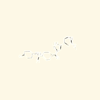 COc1cc(-c2cc(C(=O)N3CCC(C(=O)NC4CCC(=O)CC4)CC3)n[nH]2)ccn1